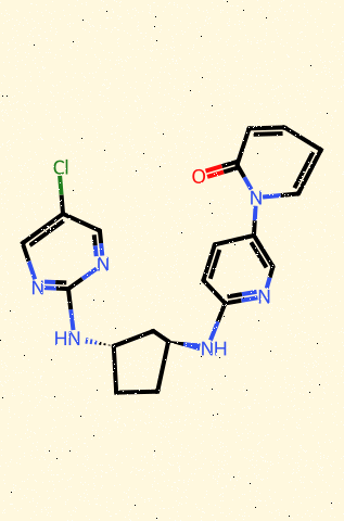 O=c1ccccn1-c1ccc(N[C@H]2CC[C@H](Nc3ncc(Cl)cn3)C2)nc1